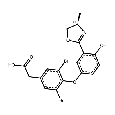 C[C@@H]1COC(c2cc(Oc3c(Br)cc(CC(=O)O)cc3Br)ccc2O)=N1